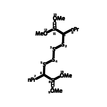 CCCC(SSSSC(CCC)[SiH](OC)OC)[SiH](OC)OC